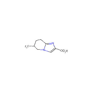 O=C(O)c1cn2c(n1)CCC(C(F)(F)F)C2